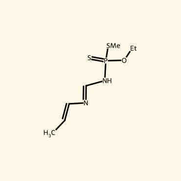 CC=CN=CNP(=S)(OCC)SC